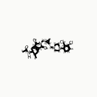 CC(=O)NC1C(C)C2CC1C1C(=O)N(C[C@H]3C[C@@H]3CN3CCN(c4cccc(Cl)c4Cl)CC3)C(=O)C21